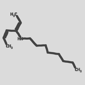 C/C=C\C(=C/C)NCCCCCCCC